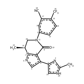 Cc1nc(-c2cnn3c2C(=O)N(c2ccc(C(F)(F)F)c(C#N)c2)C[C@@H]3C)c[nH]1